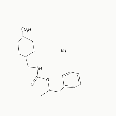 CC(Cc1ccccc1)OC(=O)NCC1CCC(C(=O)O)CC1.[KH]